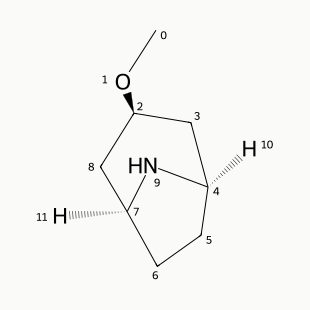 CO[C@H]1C[C@H]2CC[C@@H](C1)N2